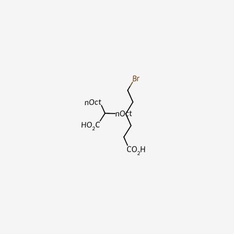 CCCCCCCCC(CCCCCCCC)C(=O)O.O=C(O)CCCCCBr